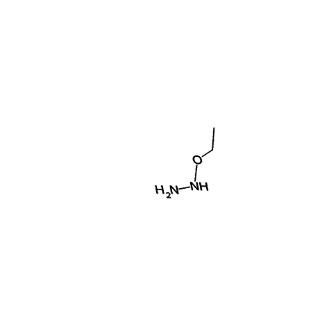 CCONN